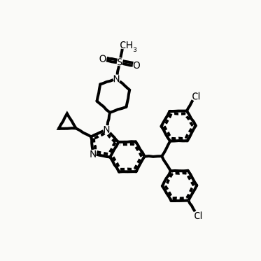 CS(=O)(=O)N1CCC(n2c(C3CC3)nc3ccc(C(c4ccc(Cl)cc4)c4ccc(Cl)cc4)cc32)CC1